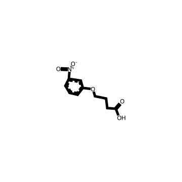 O=C(O)CCCOc1cccc([N+](=O)[O-])c1